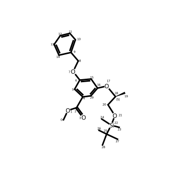 COC(=O)c1cc(OCc2ccccc2)cc(O[C@@H](C)CO[Si](C)(C)C(C)(C)C)c1